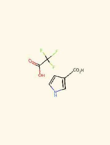 O=C(O)C(F)(F)F.O=C(O)c1cc[nH]c1